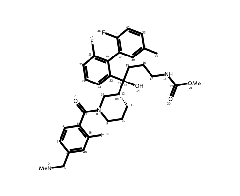 CNCc1ccc(C(=O)N2CCC[C@@H]([C@@](O)(CCCNC(=O)OC)c3cccc(F)c3-c3cc(C)ccc3F)C2)c(F)c1